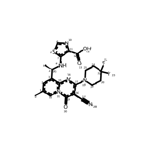 Cc1cc([C@@H](C)Nc2scnc2C(=O)O)c2nc(N3CCC(F)(F)CC3)c(C#N)c(=O)n2c1